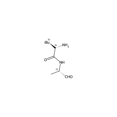 CC[C@H](C)[C@H](N)C(=O)N[C@@H](C)C=O